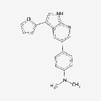 CN(C)c1ccc(-c2cnc3[nH]cc(-c4ccco4)c3c2)cc1